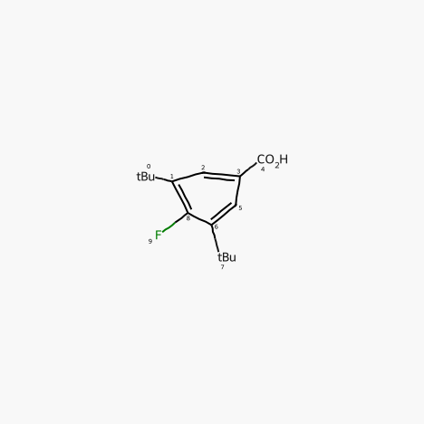 CC(C)(C)c1cc(C(=O)O)cc(C(C)(C)C)c1F